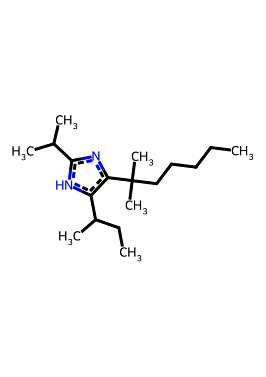 CCCCCC(C)(C)c1nc(C(C)C)[nH]c1C(C)CC